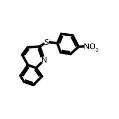 O=[N+]([O-])c1ccc(Sc2ccc3ccccc3n2)cc1